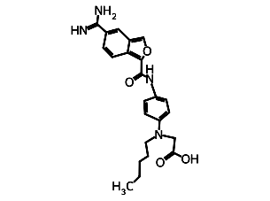 CCCCCN(CC(=O)O)c1ccc(NC(=O)c2occ3cc(C(=N)N)ccc23)cc1